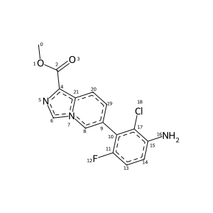 COC(=O)c1ncn2cc(-c3c(F)ccc(N)c3Cl)ccc12